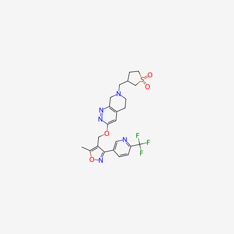 Cc1onc(-c2ccc(C(F)(F)F)nc2)c1COc1cc2c(nn1)CN(CC1CCS(=O)(=O)C1)CC2